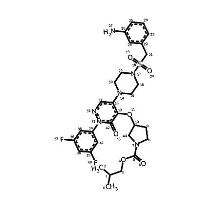 CC(C)COC(=O)N1CCC(Oc2c(N3CCN(S(=O)(=O)Cc4cccc(N)c4)CC3)cnn(-c3cc(F)cc(F)c3)c2=O)C1